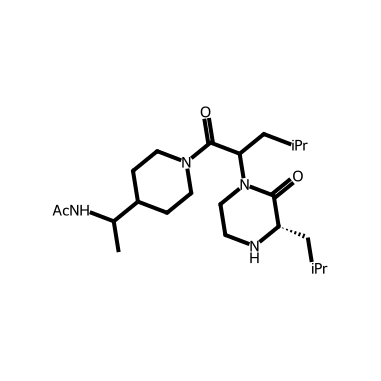 CC(=O)NC(C)C1CCN(C(=O)C(CC(C)C)N2CCN[C@@H](CC(C)C)C2=O)CC1